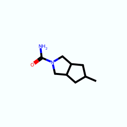 CC1CC2CN(C(N)=O)CC2C1